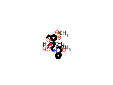 CC1(C)CN(CC(O)(CC(C)(C)c2cc(S(C)(=O)=O)cc3c2OCC3)C(F)(F)F)c2ccccc2C1=O